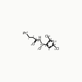 CC(C)CCC(=O)N[S+]([O-])c1cc(Cl)sc1Cl